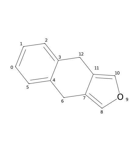 c1ccc2c(c1)Cc1cocc1C2